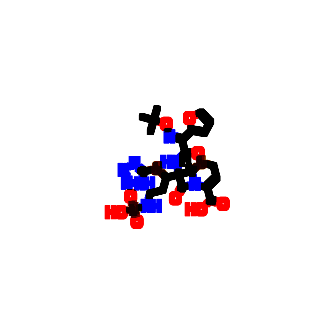 CC(C)(C)ON=C(C(=O)NC1(C(CCNS(=O)(=O)O)Sc2nnn[nH]2)C(=O)N2C(C(=O)O)=CCS[C@H]21)c1ccco1